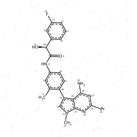 Cc1cc(NC(=O)[C@@H](O)c2cccc(F)c2)ccc1-c1cn(C)c2nc(C(C)C)nc(N)c12